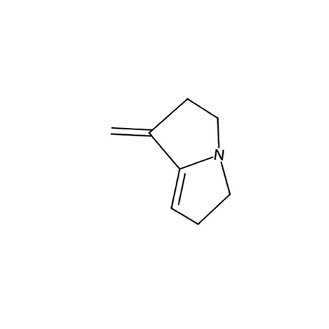 C=C1CCN2CCC=C12